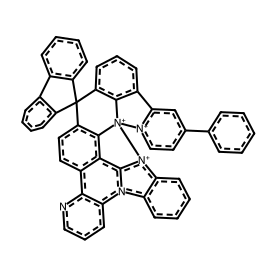 c1ccc(-c2cc[n+]3c(c2)-c2cccc4c2[N+]32c3c(ccc5c6ncccc6n6c7ccccc7[n+]2c6c35)C42c3ccccc3-c3ccccc32)cc1